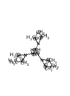 CCCCCCC(C)OC(=O)CCCCCN(CCCCCCNC(=O)C1CC(C(=O)NCCCCCCN(CCCCCC(=O)OC(C)CCCCCC)CCCCCC(=O)OC(C)CCCCCC)CC(C(=O)NCCCCCCN(CCCCCC(=O)OC(C)CCCCCC)CCCCCC(=O)OC(C)CCCCCC)C1)CCCCCC(=O)OC(C)CCCCCC